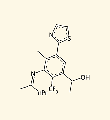 CCC/C(C)=N\c1c(C)c(-c2nccs2)cc(C(C)O)c1C(F)(F)F